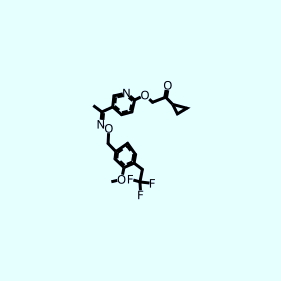 COc1cc(CON=C(C)c2ccc(OCC(=O)C3CC3)nc2)ccc1CC(F)(F)F